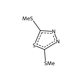 [CH2]Sc1nnc(SC)s1